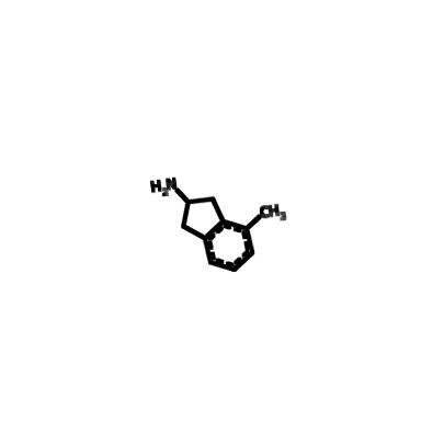 Cc1cccc2c1CC(N)C2